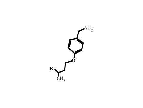 CC(Br)CCOc1ccc(CN)cc1